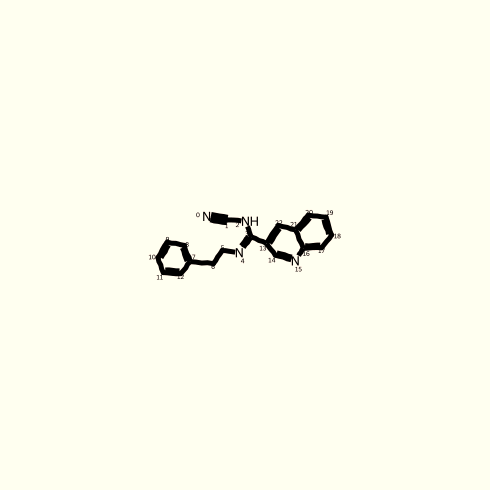 N#CN/C(=N\CCc1ccccc1)c1cnc2ccccc2c1